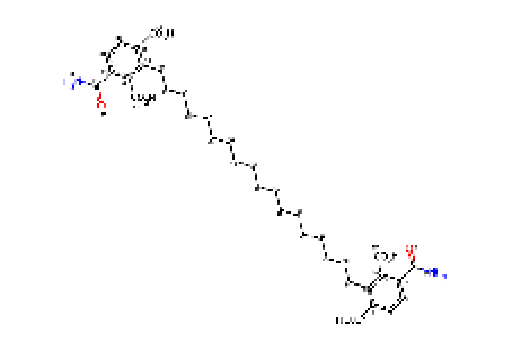 NC(=O)c1ccc(C(=O)O)c(CCCCCCCCCCCCCCCCCCc2c(C(=O)O)ccc(C(N)=O)c2C(=O)O)c1C(=O)O